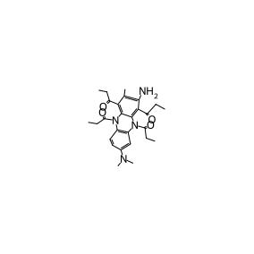 CCC(=O)c1c(C)c(N)c(C(=O)CC)c2c1N(C(=O)CC)c1ccc(N(C)C)cc1N2C(=O)CC